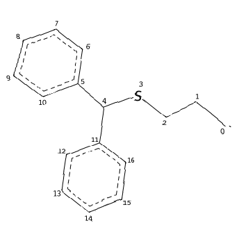 [CH2]CCSC(c1ccccc1)c1ccccc1